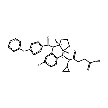 O=C(O)CCC(=O)N(C1CC1)[C@H]1c2ccc(F)cc2N(C(=O)c2ccc(Oc3ccccc3)cc2)[C@@H]2CCC[C@@H]21